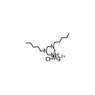 CCCCCN1CNCN(CCCCC)C1.[Mg+2][Cl]